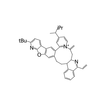 C=CC1=NC2CC(=C)[n+]3ccc(C(C)C(C)C)cc3-c3cc4c(cc3CCC2c2ccccc21)oc1nc(C(C)(C)C)ccc14